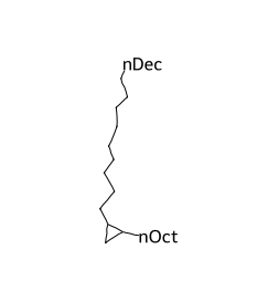 CCCCCCCCCCCCCCCCCCCC1CC1CCCCCCCC